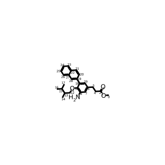 COC(=O)CCc1cc(N)c(OCC(C)C(C)C)c(-c2ccc3ccccc3c2)c1